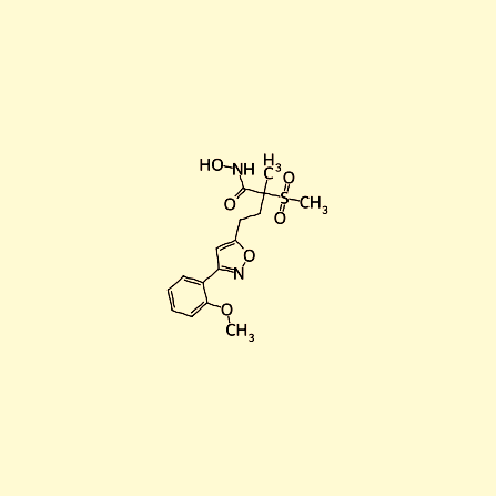 COc1ccccc1-c1cc(CCC(C)(C(=O)NO)S(C)(=O)=O)on1